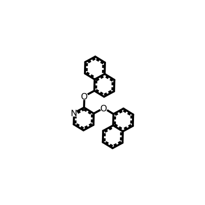 c1cnc(Oc2cccc3ccccc23)c(Oc2cccc3ccccc23)c1